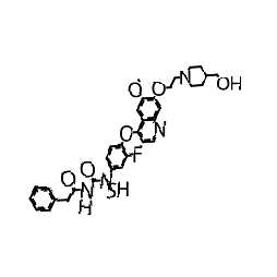 COc1cc2c(Oc3ccc(N(S)C(=O)NC(=O)Cc4ccccc4)cc3F)ccnc2cc1OCCN1CCC(CO)CC1